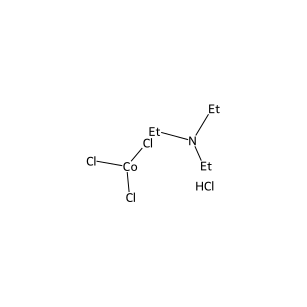 CCN(CC)CC.Cl.[Cl][Co]([Cl])[Cl]